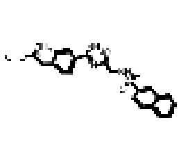 NC(=NC(=O)CNS(=O)(=O)c1ccc2ccccc2c1)c1ccc(C[C@H](N)[C]=O)cc1